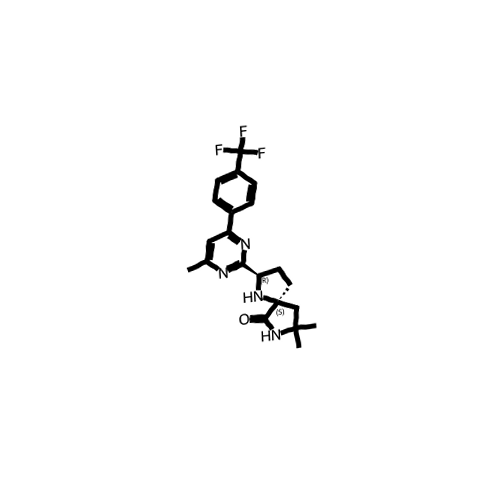 Cc1cc(-c2ccc(C(F)(F)F)cc2)nc([C@H]2CC[C@@]3(CC(C)(C)NC3=O)N2)n1